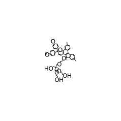 COc1ccc(C2(c3ccc(OC)cc3)C=Cc3c4c(c5ccc(C)cc5c3O2)-c2ccc(C)cc2C4(C)OCCOCC(CO)(COCCO)COCCO)cc1